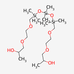 CC(O)COCCOC[Si](C)(C)O[Si](C)(C)O[Si](C)(C)COCCOCC(C)O